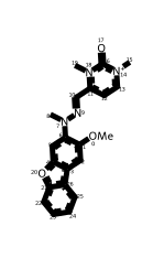 COc1cc2c(cc1N(C)N=Cc1cc[n+](C)c(=O)n1C)oc1ccccc12